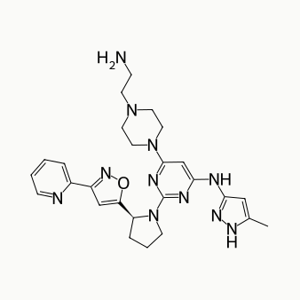 Cc1cc(Nc2cc(N3CCN(CCN)CC3)nc(N3CCC[C@H]3c3cc(-c4ccccn4)no3)n2)n[nH]1